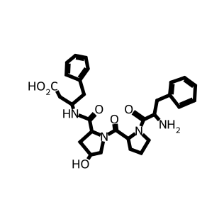 NC(Cc1ccccc1)C(=O)N1CCCC1C(=O)N1CC(O)CC1C(=O)NC(CC(=O)O)Cc1ccccc1